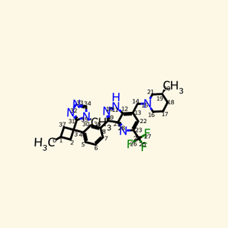 CC1CC(c2cccc(-c3n[nH]c4c(CN5CCC[C@H](C)C5)cc(C(F)(F)F)nc34)c2)(c2nncn2C)C1